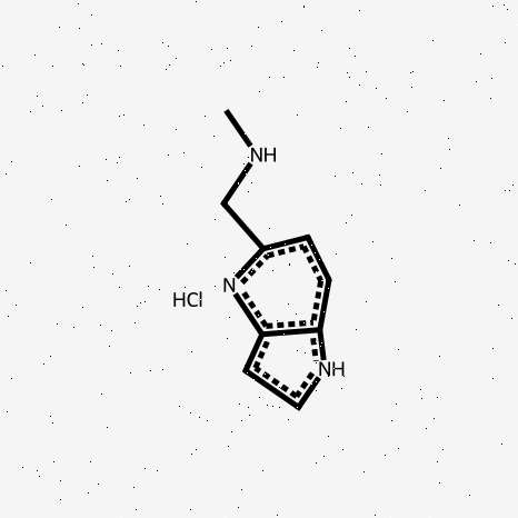 CNCc1ccc2[nH]ccc2n1.Cl